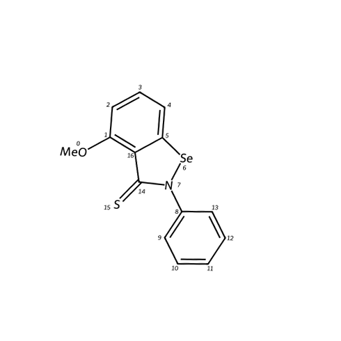 COc1cccc2[se]n(-c3ccccc3)c(=S)c12